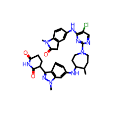 CC1CCN(c2ncc(Cl)c(Nc3ccc4c(c3)CC(=O)N4C)n2)CCC1Nc1ccc2c(C3CCC(=O)NC3=O)nn(C)c2c1